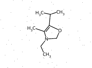 CCN1COC(C(C)C)=C1C